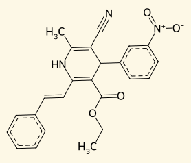 CCOC(=O)C1=C(C=Cc2ccccc2)NC(C)=C(C#N)C1c1cccc([N+](=O)[O-])c1